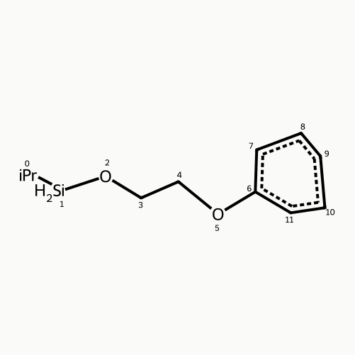 CC(C)[SiH2]OCCOc1ccccc1